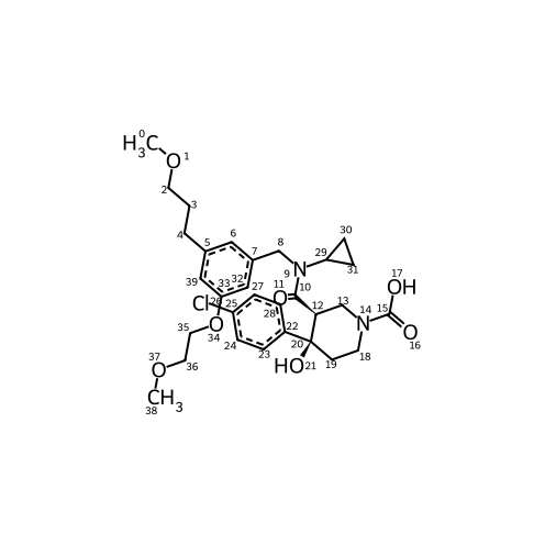 COCCCc1cc(CN(C(=O)[C@H]2CN(C(=O)O)CC[C@]2(O)c2ccc(Cl)cc2)C2CC2)cc(OCCOC)c1